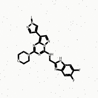 Fc1cc2nc(CNc3nc(N4CCOCC4)nc4c(-c5cnn(I)c5)cnn34)[nH]c2cc1F